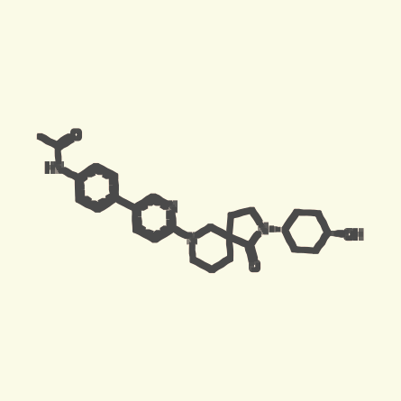 CC(=O)Nc1ccc(-c2ccc(N3CCCC4(CCN([C@H]5CC[C@H](O)CC5)C4=O)C3)nc2)cc1